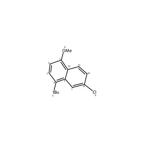 COc1ccc(C(C)(C)C)c2cc(Cl)ccc12